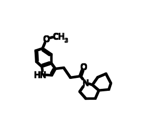 COc1ccc2[nH]cc(CCC(=O)N3CCCC4CCCCC43)c2c1